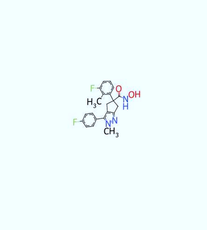 Cc1c(F)cccc1C1(C(=O)NO)Cc2nn(C)c(-c3ccc(F)cc3)c2C1